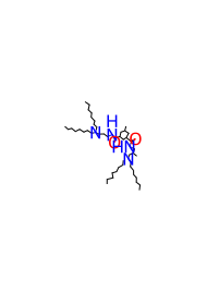 CCCCCCCCN(CCCCCCCC)CCCNC(=O)C1CC(C)CC(C(=O)NCC(C)CN(CCCCCCCC)CCCCCCCC)C1